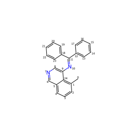 Cc1cccc2cncc(N=C(c3ccccc3)c3ccccc3)c12